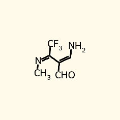 C/N=C(\C(C=O)=C/N)C(F)(F)F